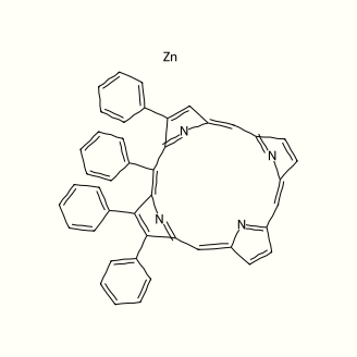 C1=CC2=NC1=CC1=NC(=C(c3ccccc3)C3=NC(=CC4=NC(=C2)C=C4)C=C3c2ccccc2)C(c2ccccc2)=C1c1ccccc1.[Zn]